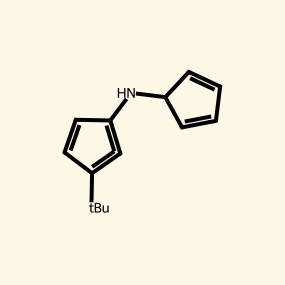 CC(C)(C)C1=C=C(NC2C=CC=C2)C=C1